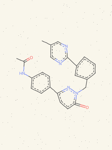 CC(=O)Nc1ccc(-c2ccc(=O)n(Cc3cccc(-c4ncc(C)cn4)c3)n2)cc1